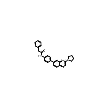 O=C(Cc1ccccc1)Nc1ccc(-c2ccc3ncc(N4CCCC4)nc3c2)cc1